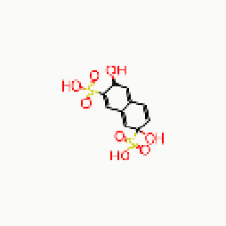 O=S(=O)(O)C1=CC2=CC(O)(S(=O)(=O)O)C=CC2=CC1O